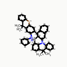 CC1(C)c2ccccc2Sc2cc(-c3c4c(cc5ccccc35)N3c5ccccc5C(C)(C)c5cccc(c53)B4)c(Nc3ccccc3)cc21